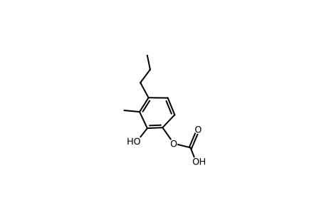 CCCc1ccc(OC(=O)O)c(O)c1C